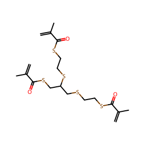 C=C(C)C(=O)SCCSCC(CSC(=O)C(=C)C)SCCSC(=O)C(=C)C